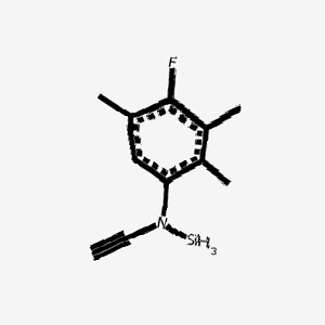 C#CN([SiH3])c1cc(C)c(F)c(C)c1C